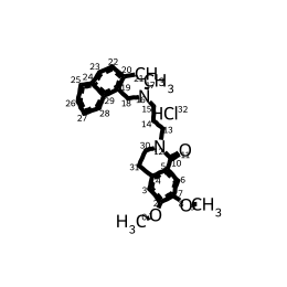 COc1cc2c(cc1OC)C(=O)N(CCCN(C)Cc1c(C)ccc3ccccc13)CC2.Cl